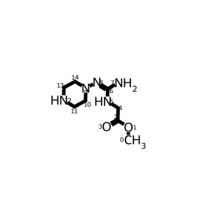 COC(=O)CNC(N)=NN1CCNCC1